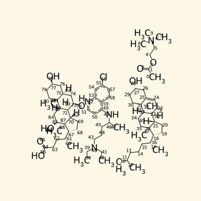 CC(=O)OCC[N+](C)(C)C.CC(C)CCC[C@@H](C)[C@H]1CC[C@H]2[C@@H]3CC=C4C[C@@H](O)CC[C@]4(C)[C@H]3CC[C@]12C.CCN(CC)CCCC(C)Nc1ccnc2cc(Cl)ccc12.C[C@H](CCC(=O)O)[C@H]1CC[C@H]2[C@@H]3[C@H](O)C[C@@H]4C[C@H](O)CC[C@]4(C)[C@H]3C[C@H](O)[C@]12C